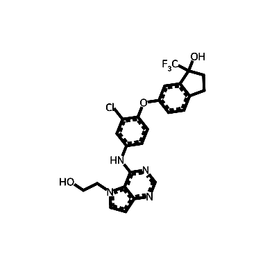 OCCn1ccc2ncnc(Nc3ccc(Oc4ccc5c(c4)C(O)(C(F)(F)F)CC5)c(Cl)c3)c21